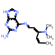 C\C=C/C(=C\C=N\c1nc(N)nc2[nH]cnc12)N(C)C